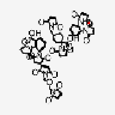 O=C(O)c1cccc(N2C(=O)C=CC2=O)c1N1C(=O)CCC1=O.O=C1C=CC(=O)N1CC1CCC(C(=O)O)(N2C(=O)CCC2=O)CC1.O=C1C=CC(=O)N1COCN1C(=O)C=CC1=O.O=C1C=CC(=O)N1c1ccccc1N1C(=O)C=CC1=O